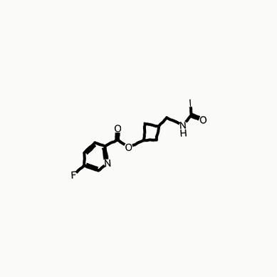 O=C(I)NCC1CC(OC(=O)c2ccc(F)cn2)C1